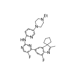 CCN1CCN(c2ccc(Nc3ncc(F)c(-c4cc(F)c5c(c4)C4(CCCC4)C(C)=N5)n3)nc2)CC1